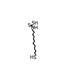 S=C(S)NCCCCCCCCCCCCS